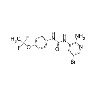 CC(F)(F)Oc1ccc(NC(=O)Nc2cc(Br)cnc2N)cc1